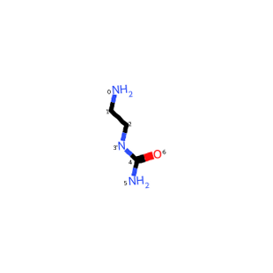 NCC[N]C(N)=O